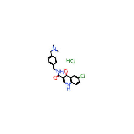 CN(C)Cc1ccc(CNC(=O)c2c[nH]c3ccc(Cl)cc3c2=O)cc1.Cl